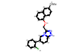 COc1ccc2c(OCc3nnc4ccc(-c5ccccc5F)cn34)cccc2c1